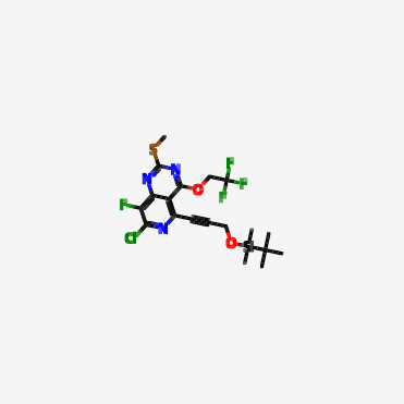 CSc1nc(OCC(F)(F)F)c2c(C#CCO[Si](C)(C)C(C)(C)C)nc(Cl)c(F)c2n1